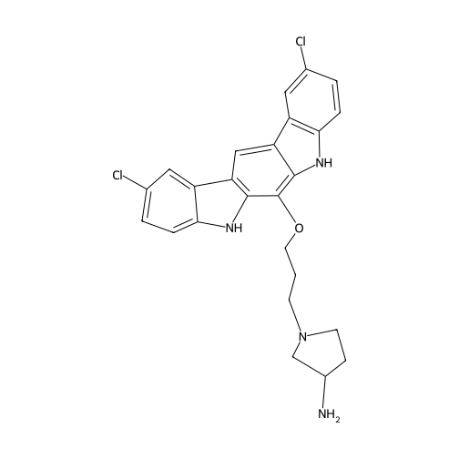 NC1CCN(CCCOc2c3[nH]c4ccc(Cl)cc4c3cc3c2[nH]c2ccc(Cl)cc23)C1